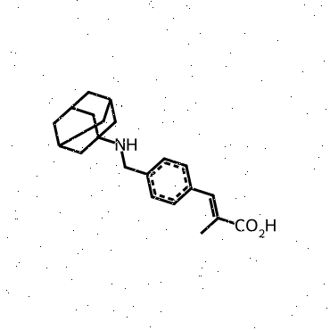 CC(=Cc1ccc(CNC23CC4CC(CC(C4)C2)C3)cc1)C(=O)O